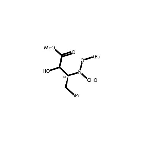 COC(=O)C(O)[C@H](CC(C)C)N(C=O)OC(C)(C)C